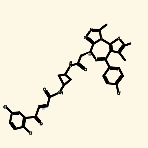 Cc1sc2c(c1C)C(c1ccc(Cl)cc1)=N[C@@H](CC(=O)NC1CC(NC(=O)/C=C/C(=O)c3cc(Cl)ccc3Cl)C1)c1nnc(C)n1-2